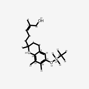 CC(=CCCC1(C)CCc2cc(O[Si](C)(C)C(C)(C)C)c(C)c(C)c2O1)CO